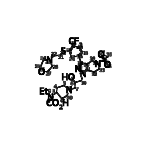 CCN(C(=O)O)C1CCN(CC(O)Cn2nc(-c3ccc(C(F)(F)F)c(SCCN4CCOCC4)c3)c3c2CCN(S(C)(=O)=O)C3)CC1